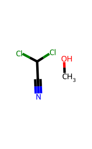 CO.N#CC(Cl)Cl